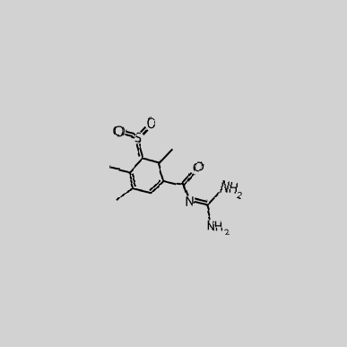 CC1=C(C)C(=S(=O)=O)C(C)C(C(=O)N=C(N)N)=C1